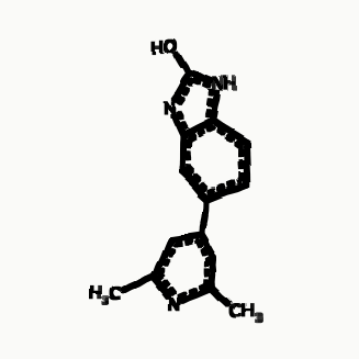 Cc1cc(-c2ccc3[nH]c(O)nc3c2)cc(C)n1